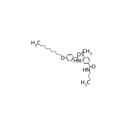 CCCCCCCCCOc1ccc(C(=O)Nc2cc(C(=O)NCCCC)ccc2SC)cc1